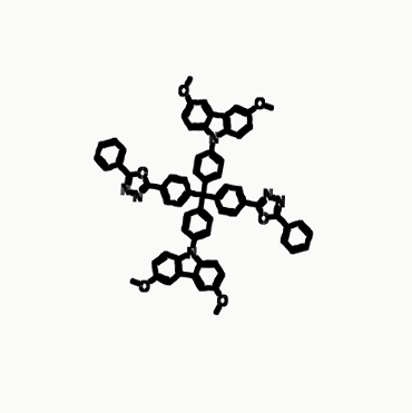 COc1ccc2c(c1)c1cc(OC)ccc1n2-c1ccc(C(c2ccc(-c3nnc(-c4ccccc4)o3)cc2)(c2ccc(-c3nnc(-c4ccccc4)o3)cc2)c2ccc(-n3c4ccc(OC)cc4c4cc(OC)ccc43)cc2)cc1